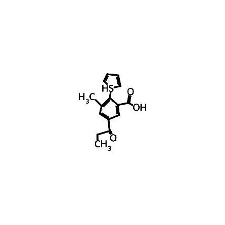 CCC(=O)c1cc(C)c([SH]2C=CC=C2)c(C(=O)O)c1